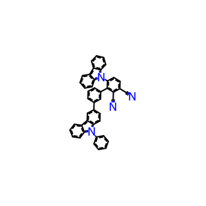 N#Cc1ccc(-n2c3ccccc3c3ccccc32)c(-c2cccc(-c3ccc4c(c3)c3ccccc3n4-c3ccccc3)c2)c1C#N